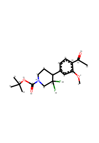 COc1cc(C2CCN(C(=O)OC(C)(C)C)CC2(F)F)ccc1C(C)=O